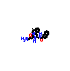 C[C@@H](CN1CC[C@@H](CNC(=O)c2ccc3ccccc3c2)N[C@@H](CCCN)C1=O)c1ccccc1